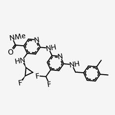 CNC(=O)c1cnc(Nc2cc(C(F)F)cc(NCc3ccc(C)c(C)c3)n2)cc1N[C@H]1C[C@H]1F